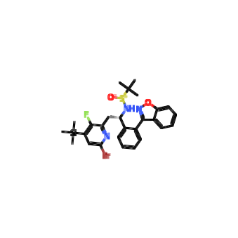 CC(C)(C)[S+]([O-])N[C@@H](Cc1nc(Br)cc([Si](C)(C)C)c1F)c1ccccc1-c1noc2ccccc12